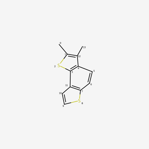 Cc1sc2c(ccc3sccc32)c1C